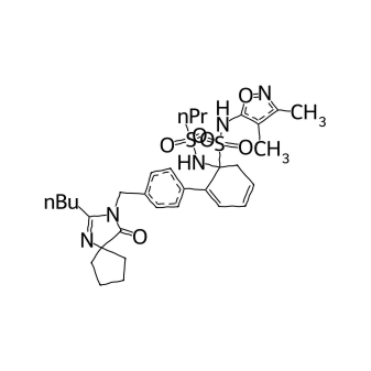 CCCCC1=NC2(CCCC2)C(=O)N1Cc1ccc(C2=CC=CCC2(NS(=O)(=O)CCC)S(=O)(=O)Nc2onc(C)c2C)cc1